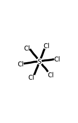 ClS(Cl)(Cl)(Cl)(Cl)Cl